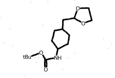 CC(C)(C)OC(=O)NC1CCC(CC2OCCO2)CC1